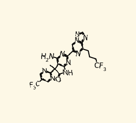 CC1(c2ncc(C(F)(F)F)cn2)C(=O)Nc2nc(-c3cn4ncnc4c(CCCC(F)(F)F)n3)nc(N)c21